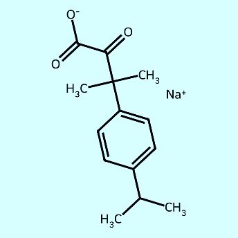 CC(C)c1ccc(C(C)(C)C(=O)C(=O)[O-])cc1.[Na+]